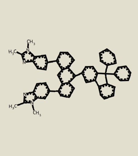 Cc1nc2ccc(-c3cccc4c(-c5ccc6c(c5)-c5ccccc5C6(c5ccccc5)c5ccccc5)c5cccc(-c6ccc7nc(C)n(C)c7c6)c5cc34)cc2n1C